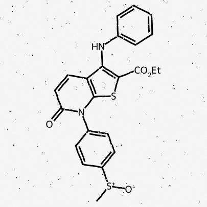 CCOC(=O)c1sc2c(ccc(=O)n2-c2ccc([S+](C)[O-])cc2)c1Nc1ccccc1